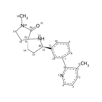 Cc1cccnc1-c1cccc([C@H]2CC[C@@]3(CCN(C)C3=O)N2)c1